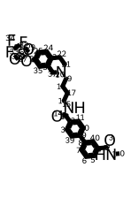 CNC(=O)c1cccc(-c2ccc(C(=O)NCCCCN3CCc4ccc(OS(=O)(=O)C(F)(F)F)cc4C3)cc2)c1